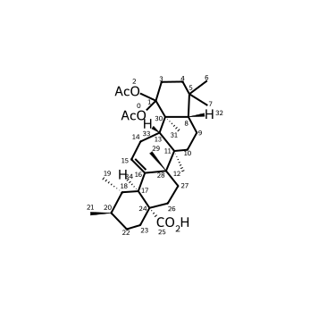 CC(=O)OC1(OC(C)=O)CCC(C)(C)[C@@H]2CC[C@]3(C)[C@H](CC=C4[C@@H]5[C@@H](C)[C@H](C)CC[C@]5(C(=O)O)CC[C@]43C)[C@]21C